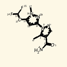 Cc1c(C(N)=O)cnn1-c1cc(OC(F)F)n(C)n1